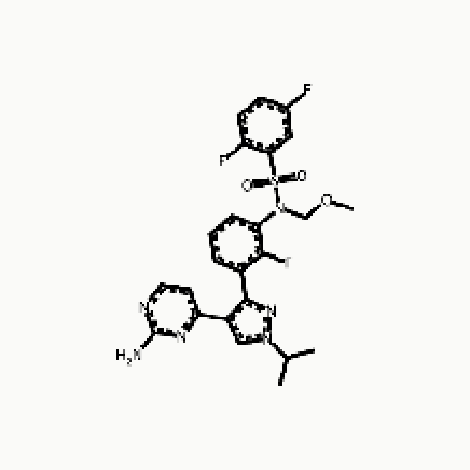 COCN(c1cccc(-c2nn(C(C)C)cc2-c2ccnc(N)n2)c1F)S(=O)(=O)c1cc(F)ccc1F